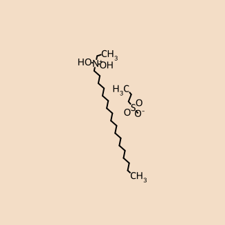 CCCCCCCCCCCCCCCCCC[N+](O)(O)CC.CCCS(=O)(=O)[O-]